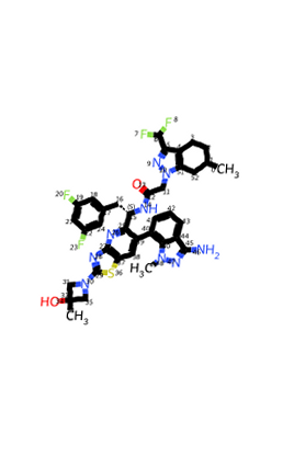 CC1CCc2c(C(F)F)nn(CC(=O)N[C@@H](Cc3cc(F)cc(F)c3)c3nc4nc(N5CC(C)(O)C5)sc4cc3-c3cccc4c(N)nn(C)c34)c2C1